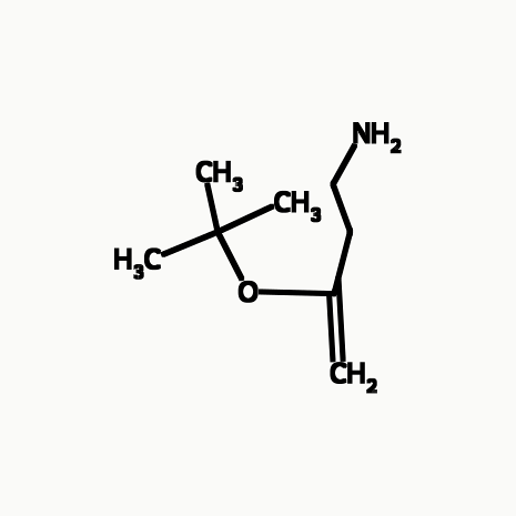 C=C(CCN)OC(C)(C)C